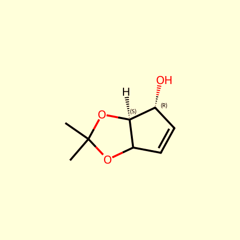 CC1(C)OC2C=C[C@@H](O)[C@@H]2O1